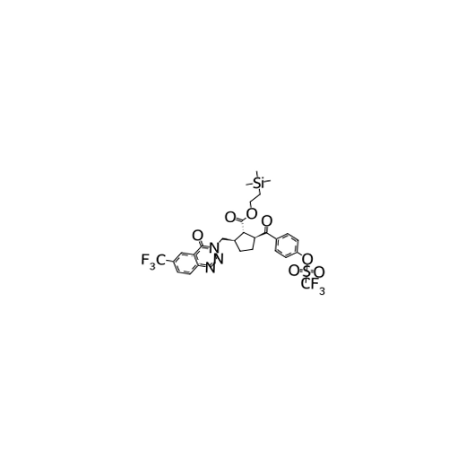 C[Si](C)(C)CCOC(=O)[C@H]1[C@H](Cn2nnc3ccc(C(F)(F)F)cc3c2=O)CC[C@@H]1C(=O)c1ccc(OS(=O)(=O)C(F)(F)F)cc1